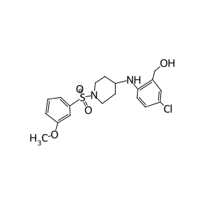 COc1cccc(S(=O)(=O)N2CCC(Nc3ccc(Cl)cc3CO)CC2)c1